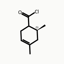 CC1=CCC(C(=O)Cl)[C@@H](C)C1